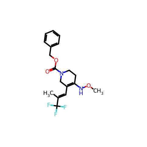 CONC1=C(/C=C(\C)C(F)(F)F)CN(C(=O)OCc2ccccc2)CC1